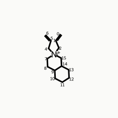 C=CC[N+]1(CC=C)CCC2CCCCC2C1